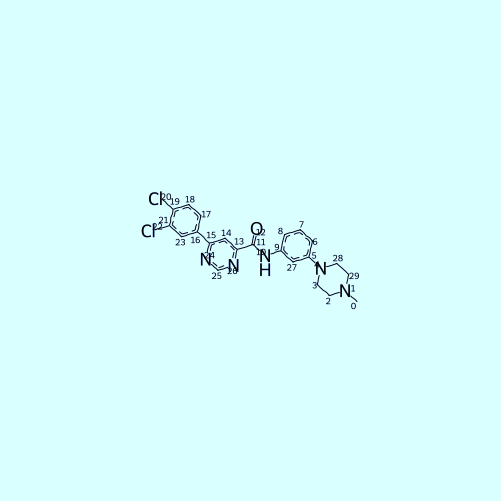 CN1CCN(c2cccc(NC(=O)c3cc(-c4ccc(Cl)c(Cl)c4)ncn3)c2)CC1